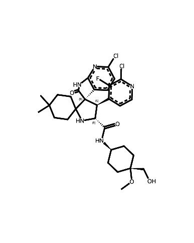 CO[C@]1(CO)CC[C@@H](NC(=O)[C@@H]2NC3(CCC(C)(C)CC3)[C@@]3(C(=O)Nc4nc(Cl)ccc43)[C@H]2c2ccnc(Cl)c2F)CC1